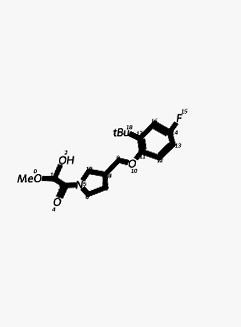 COC(O)C(=O)N1CCC(COc2ccc(F)cc2C(C)(C)C)C1